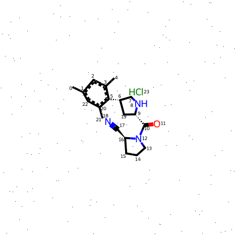 Cc1cc(C)c([C@@H]2CN[C@H](C(=O)N3CCC[C@H]3C#N)C2)c(C)c1.Cl